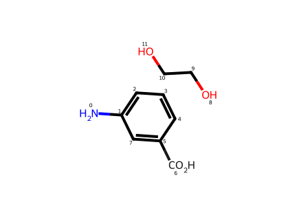 Nc1cccc(C(=O)O)c1.OCCO